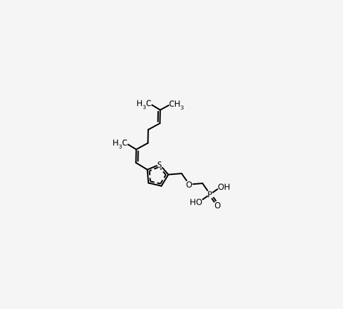 CC(C)=CCCC(C)=Cc1ccc(COCP(=O)(O)O)s1